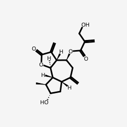 C=C(CO)C(=O)O[C@H]1CC(=C)[C@@H]2C[C@H](O)[C@@H](C)[C@@H]2[C@H]2OC(=O)C(=C)[C@@H]21